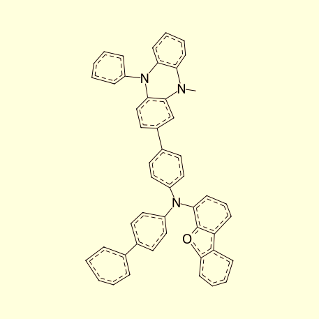 CN1c2ccccc2N(c2ccccc2)c2ccc(-c3ccc(N(c4ccc(-c5ccccc5)cc4)c4cccc5c4oc4ccccc45)cc3)cc21